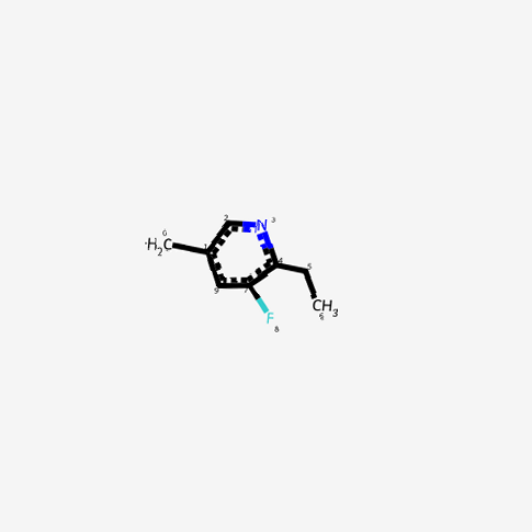 [CH2]c1cnc(CC)c(F)c1